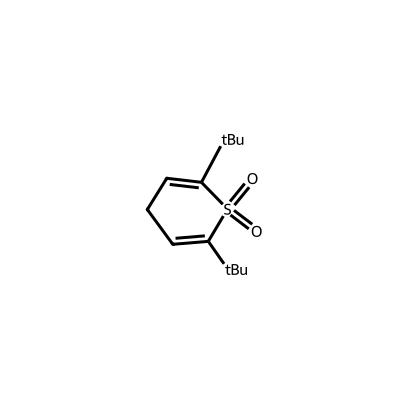 CC(C)(C)C1=CCC=C(C(C)(C)C)S1(=O)=O